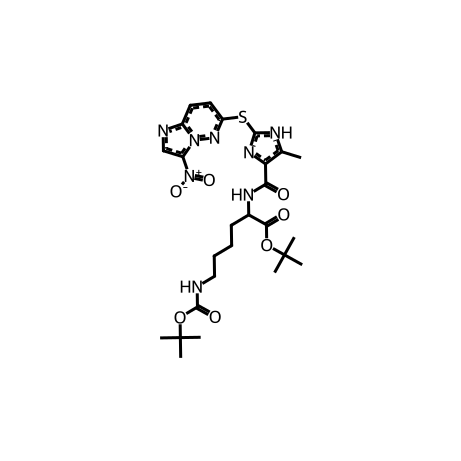 Cc1[nH]c(Sc2ccc3ncc([N+](=O)[O-])n3n2)nc1C(=O)NC(CCCCNC(=O)OC(C)(C)C)C(=O)OC(C)(C)C